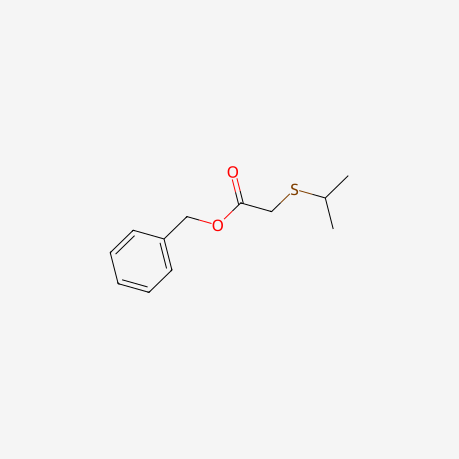 CC(C)SCC(=O)OCc1ccccc1